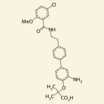 COc1ccc(Cl)cc1C(=O)NCCc1ccc(-c2ccc(OC(C)(C)C(=O)O)c(N)c2)cc1